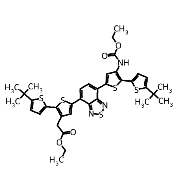 CCOC(=O)Cc1cc(-c2ccc(-c3cc(NC(=O)OCC)c(-c4ccc(C(C)(C)C)s4)s3)c3nsnc23)sc1-c1ccc(C(C)(C)C)s1